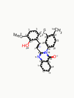 COc1cccc(/C=C/c2nc3ccccc3c(=O)n2-c2ccc(C)c(C(F)(F)F)c2)c1O